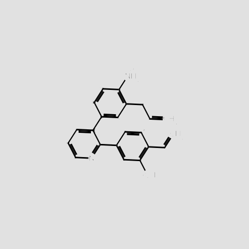 C=CCc1cc(-c2cccnc2-c2ccc(C=C)c(C)c2)ccc1N